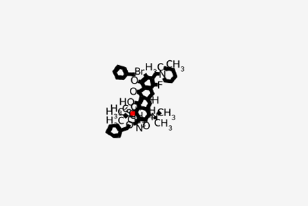 CN(C)[C@@H]1c2onc(OCc3ccccc3)c2C(=O)[C@@]2(O[Si](C)(C)C(C)(C)C)C(O)=C3C(=O)c4c(c(F)c(CN5CCCCC5(C)C)c(Br)c4OCc4ccccc4)C[C@H]3C[C@@H]12